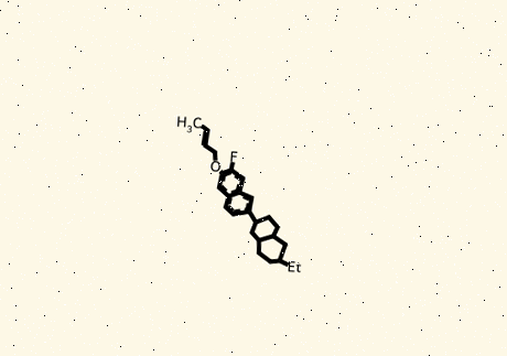 CC=CCOc1cc2ccc(C3CCC4CC(CC)CCC4C3)cc2cc1F